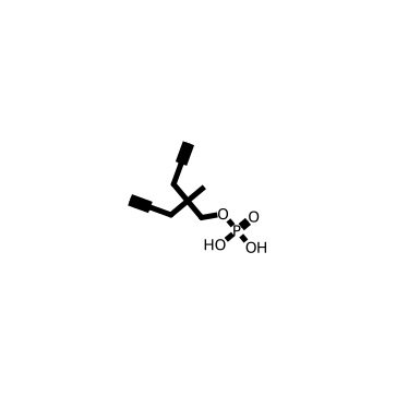 C#CCC(C)(CC#C)COP(=O)(O)O